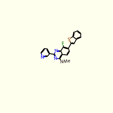 CNc1nc(-c2cccnc2)nc2c(F)c(-c3cc4ccccc4s3)ccc12